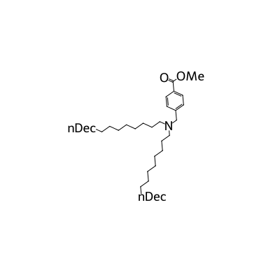 CCCCCCCCCCCCCCCCCCN(CCCCCCCCCCCCCCCCCC)Cc1ccc(C(=O)OC)cc1